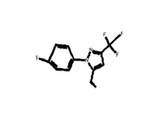 CCc1cc(C(F)(F)F)nn1-c1ccc(F)cc1